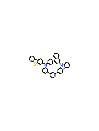 c1ccc(N(c2cccc(-c3cccc(-c4ccc5c6ccccc6n(-c6ccc7ccccc7c6)c5c4)c3)c2)c2ccc3c(c2)sc2ccccc23)cc1